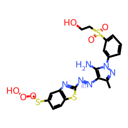 Cc1nn(-c2cccc(S(=O)(=O)CCO)c2)c(N)c1/N=N/c1nc2cc(SOOO)ccc2s1